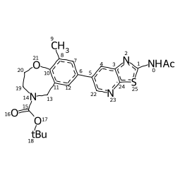 CC(=O)Nc1nc2cc(-c3cc(C)c4c(c3)CN(C(=O)OC(C)(C)C)CCO4)cnc2s1